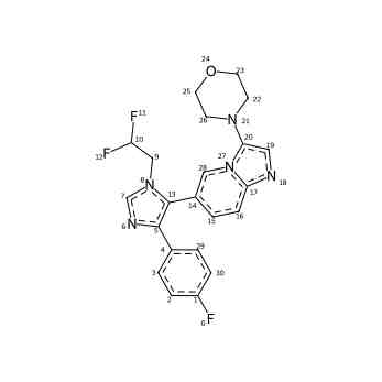 Fc1ccc(-c2ncn(CC(F)F)c2-c2ccc3ncc(N4CCOCC4)n3c2)cc1